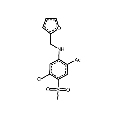 CC(=O)c1cc(S(C)(=O)=O)c(Cl)cc1NCc1ccco1